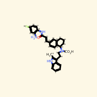 Cc1[nH]c2ccccc2c1CCN(C(=O)O)C1CCCc2cc(C=CC(=O)Nc3ccc(F)cc3N)ccc21